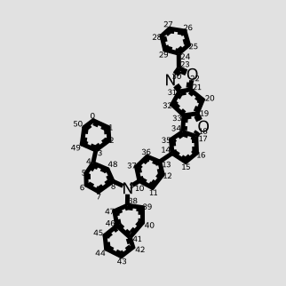 c1ccc(-c2cccc(N(c3ccc(-c4ccc5oc6cc7oc(-c8ccccc8)nc7cc6c5c4)cc3)c3ccc4ccccc4c3)c2)cc1